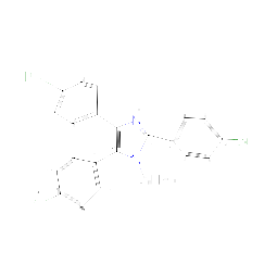 CCCCCCn1c(-c2ccc(Br)cc2)nc(-c2ccc(Br)cc2)c1-c1ccc(Br)cc1